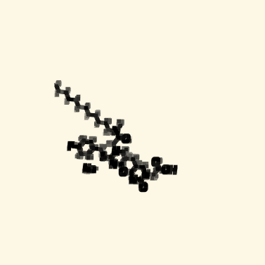 CCCCCCCCCCCCN(C)C(=O)Cn1cc(Cc2cnc(=O)n(CC(=O)O)c2)c(=O)nc1SCc1ccc(F)cc1.[Na]